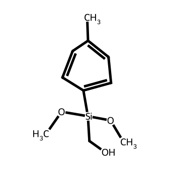 CO[Si](CO)(OC)c1ccc(C)cc1